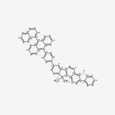 CC1(C)c2ccc(-c3ccc(-c4c5ccccc5c(-c5cccc6ccccc56)c5ccccc45)cc3)cc2-c2ccc3c(ccc4c5ccccc5sc34)c21